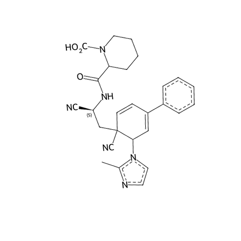 Cc1nccn1C1C=C(c2ccccc2)C=CC1(C#N)C[C@@H](C#N)NC(=O)C1CCCCN1C(=O)O